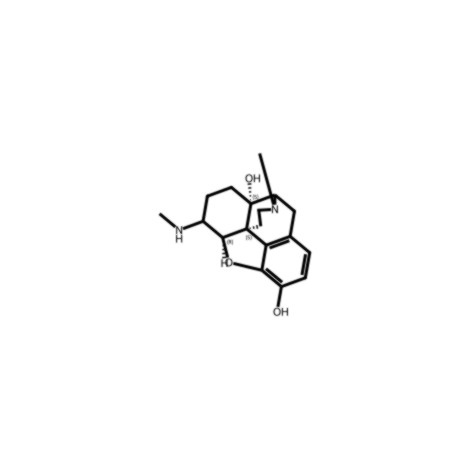 CNC1CC[C@@]2(O)C3Cc4ccc(O)c5c4[C@@]2(CCN3C)[C@H]1O5